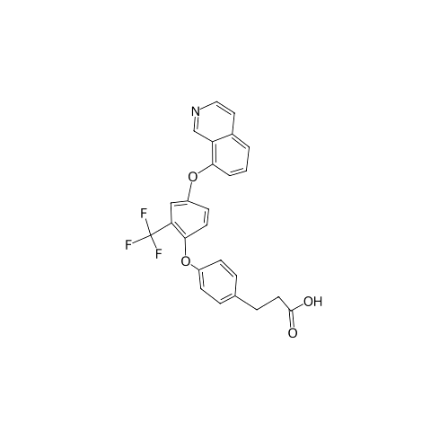 O=C(O)CCc1ccc(Oc2ccc(Oc3cccc4ccncc34)cc2C(F)(F)F)cc1